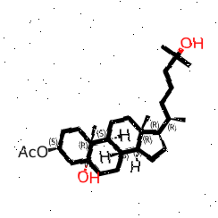 CC(=O)O[C@H]1CC[C@]2(C)[C@H]3CC[C@]4(C)[C@@H]([C@H](C)CCCC(C)(C)O)CC[C@H]4[C@@H]3CC[C@@]2(O)C1